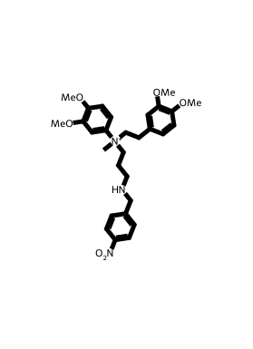 COc1ccc(CC[N+](C)(CCCNCc2ccc([N+](=O)[O-])cc2)c2ccc(OC)c(OC)c2)cc1OC